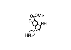 COC(=O)c1cc(C(C)=N)c(NC2CCNCC2)cc1F